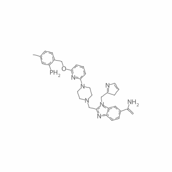 C=C(N)c1ccc2nc(CN3CCN(c4cccc(OCc5ccc(C)cc5P)n4)CC3)n(CC3=NC=CC3)c2c1